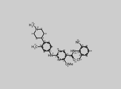 COc1nc(Nc2ccc(C3CCN(C)CC3)c(C)c2)ncc1C(=O)Nc1c(Cl)cccc1C#N